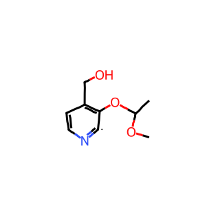 COC(C)Oc1[c]nccc1CO